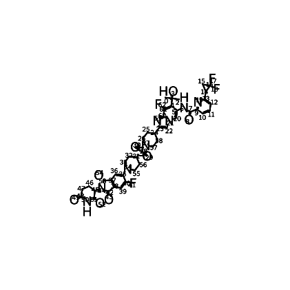 CC(C)(O)c1c(NC(=O)c2cccc(C3CC3(F)F)n2)cn2cc(C3CCN(S(=O)(=O)C4CCN(c5cc6c(cc5F)C(=O)N(C5CCC(=O)NC5=O)C6=O)CC4)CC3)nc2c1F